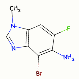 Cn1cnc2c(Br)c(N)c(F)cc21